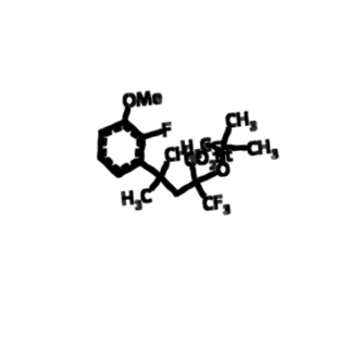 CCOC(=O)C(CC(C)(C)c1cccc(OC)c1F)(O[Si](C)(C)C)C(F)(F)F